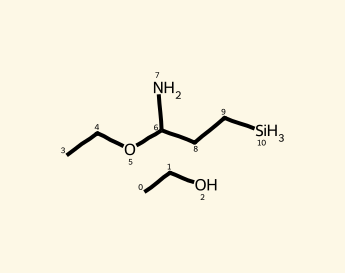 CCO.CCOC(N)CC[SiH3]